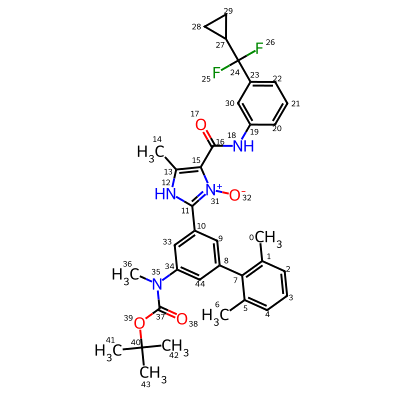 Cc1cccc(C)c1-c1cc(-c2[nH]c(C)c(C(=O)Nc3cccc(C(F)(F)C4CC4)c3)[n+]2[O-])cc(N(C)C(=O)OC(C)(C)C)c1